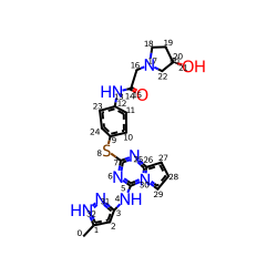 Cc1cc(Nc2nc(Sc3ccc(NC(=O)CN4CC[C@@H](O)C4)cc3)nc3cccn23)n[nH]1